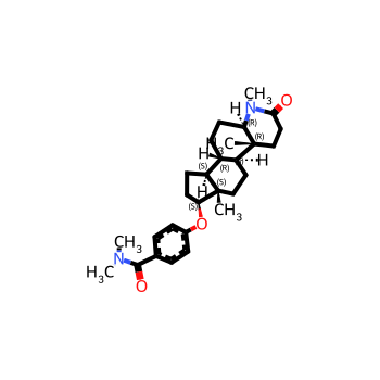 CN(C)C(=O)c1ccc(O[C@H]2CC[C@H]3[C@@H]4CC[C@H]5N(C)C(=O)CC[C@]5(C)[C@H]4CC[C@]23C)cc1